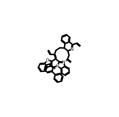 C=CC1=NC2CC(=C)[n+]3c(n(-c4ccccc4-c4ccccc4)c4ccccc43)/C(c3oc4ccccc4c3C)=C(/C=C)CCC2c2ccccc21